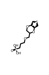 O=P(O)(O)CCCOCC1COc2cscc2O1